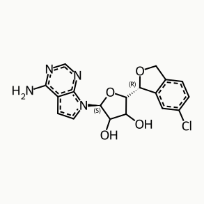 Nc1ncnc2c1ccn2[C@H]1OC([C@@H]2OCc3ccc(Cl)cc32)C(O)C1O